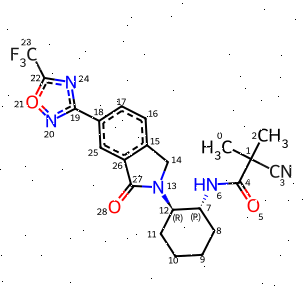 CC(C)(C#N)C(=O)N[C@@H]1CCCC[C@H]1N1Cc2ccc(-c3noc(C(F)(F)F)n3)cc2C1=O